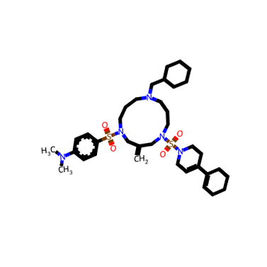 C=C1CN(S(=O)(=O)c2ccc(N(C)C)cc2)CCCN(CC2CCCCC2)CCCN(S(=O)(=O)N2CC=C(C3=CCCCC3)CC2)C1